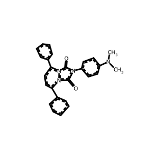 CN(C)c1ccc(-n2c(=O)n3c(-c4ccccc4)ccc(-c4ccccc4)n3c2=O)cc1